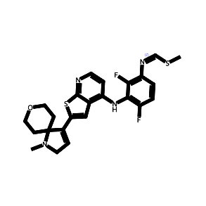 CS/C=N\c1ccc(F)c(Nc2ccnc3sc(C4=CCN(C)C45CCOCC5)cc23)c1F